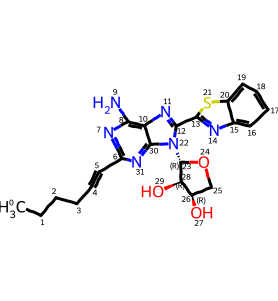 CCCCC#Cc1nc(N)c2nc(-c3nc4ccccc4s3)n([C@@H]3OC[C@@H](O)[C@H]3O)c2n1